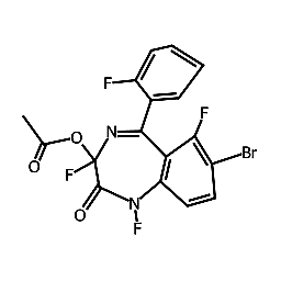 CC(=O)OC1(F)N=C(c2ccccc2F)c2c(ccc(Br)c2F)N(F)C1=O